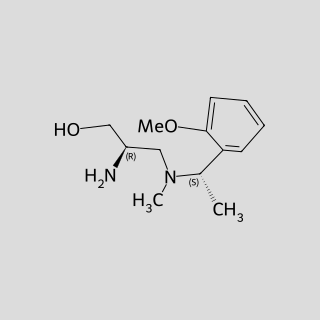 COc1ccccc1[C@H](C)N(C)C[C@@H](N)CO